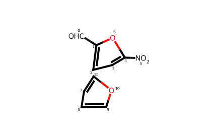 O=Cc1ccc([N+](=O)[O-])o1.c1ccoc1